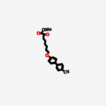 COC(=O)C(=O)CCCCCCOc1ccc(-c2ccc(C#N)cc2)cc1